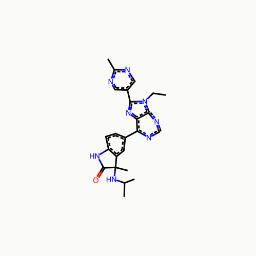 CCn1c(-c2cnc(C)nc2)nc2c(-c3ccc4c(c3)C(C)(NC(C)C)C(=O)N4)ncnc21